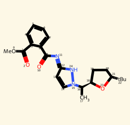 COC(=O)c1ccccc1C(=O)/N=c1\ccn(C(C)[C@H]2CCC(C(C)(C)C)O2)[nH]1